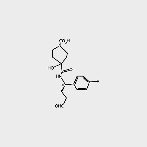 O=CCC[C@@H](NC(=O)C1(O)CCN(C(=O)O)CC1)c1ccc(F)cc1